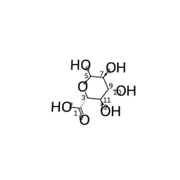 O=C(O)[C@@H]1OC(O)[C@@H](O)[C@H](O)[C@H]1O